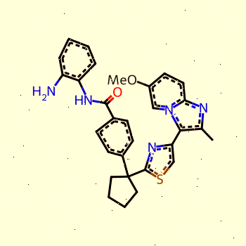 COc1ccc2nc(C)c(-c3csc(C4(c5ccc(C(=O)Nc6ccccc6N)cc5)CCCC4)n3)n2c1